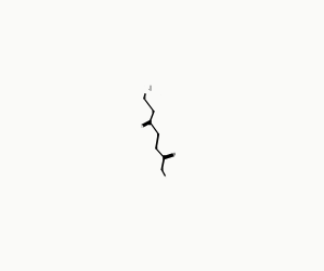 NCCC(=O)CCC(=O)C[C]=O